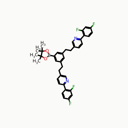 CC1(C)OB(c2cc(CCc3ccc(-c4ccc(F)cc4F)nc3)cc(CCc3ccc(-c4ccc(F)cc4F)nc3)c2)OC1(C)C